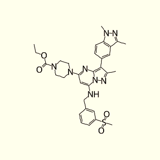 CCOC(=O)N1CCN(c2cc(NCc3cccc(S(C)(=O)=O)c3)n3nc(C)c(-c4ccc5c(c4)c(C)nn5C)c3n2)CC1